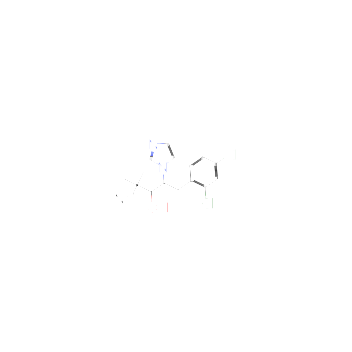 CC(C)(C#N)C(O)C(Cc1ccc(Cl)cc1Cl)n1ccnc1